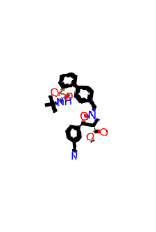 COC(=O)[C@H]1CN(Cc2ccc(-c3ccccc3S(=O)(=O)NC(C)(C)C)cc2)O[C@@H]1c1cccc(C#N)c1